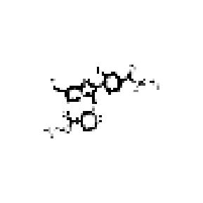 CNC(=O)c1ccc(-c2nc3cc(CF)ccn3c2C[C@H]2CN(C(=O)OC)CCO2)c(F)c1